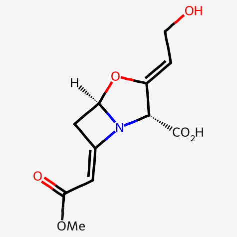 COC(=O)C=C1C[C@H]2OC(=CCO)[C@H](C(=O)O)N12